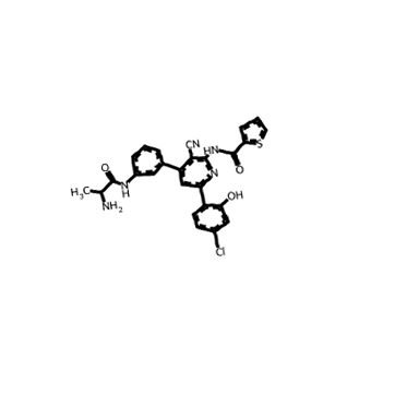 CC(N)C(=O)Nc1cccc(-c2cc(-c3ccc(Cl)cc3O)nc(NC(=O)c3cccs3)c2C#N)c1